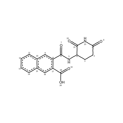 O=C1CCC(NC(=O)c2cc3ccccc3cc2C(=O)O)C(=O)N1